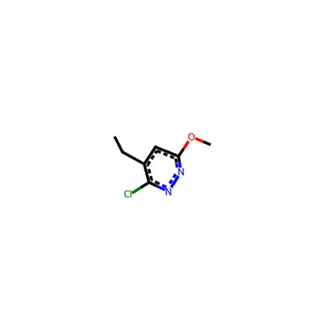 CCc1cc(OC)nnc1Cl